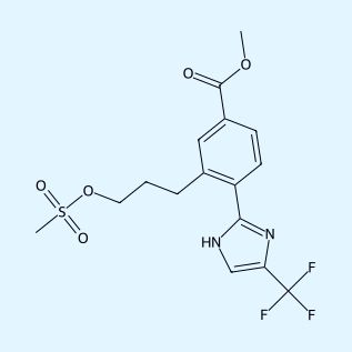 COC(=O)c1ccc(-c2nc(C(F)(F)F)c[nH]2)c(CCCOS(C)(=O)=O)c1